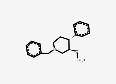 O=C(O)O[C@H]1CN(Cc2ccccc2)CC[C@@H]1c1ccccc1